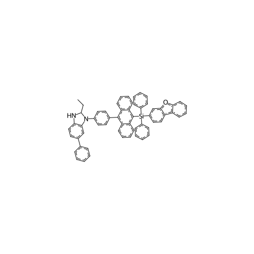 CCC1Nc2ccc(-c3ccccc3)cc2N1c1ccc(-c2c3ccccc3c([Si](c3ccccc3)(c3ccccc3)c3ccc4c(c3)oc3ccccc34)c3ccccc23)cc1